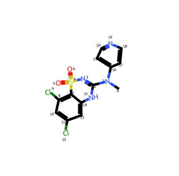 CN(C1=NS(=O)(=O)c2c(Cl)cc(Cl)cc2N1)c1ccncc1